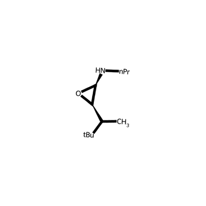 CCCN[C@@H]1O[C@@H]1C(C)C(C)(C)C